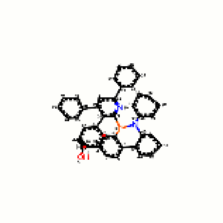 OBc1ccc2c(c1)P(c1nc(-c3ccccc3)cc(-c3ccccc3)c1-c1cc#ccc1)N(c1ccccc1)c1ccccc1-2